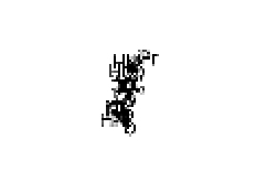 Cc1c(C)c(Oc2ccnc3[nH]c(=O)oc23)c(C)c(C)c1NC(=O)NC(C)C